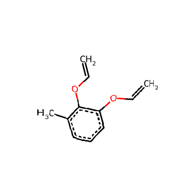 C=COc1cccc(C)c1OC=C